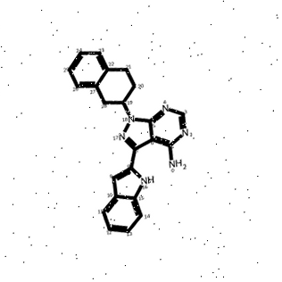 Nc1ncnc2c1c(-c1cc3ccccc3[nH]1)nn2C1CCc2ccccc2C1